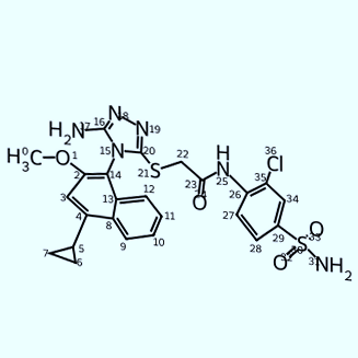 COc1cc(C2CC2)c2ccccc2c1-n1c(N)nnc1SCC(=O)Nc1ccc(S(N)(=O)=O)cc1Cl